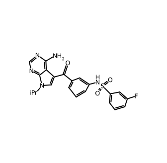 CC(C)n1cc(C(=O)c2cccc(NS(=O)(=O)c3cccc(F)c3)c2)c2c(N)ncnc21